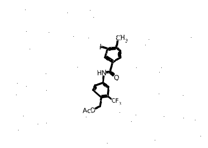 CC(=O)OCc1ccc(NC(=O)c2ccc(C)c(I)c2)cc1C(F)(F)F